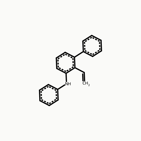 C=Cc1c(Nc2ccccc2)cccc1-c1ccccc1